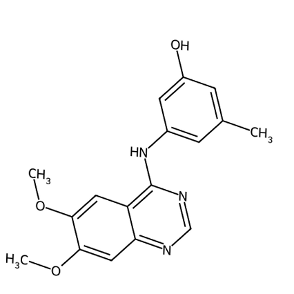 COc1cc2ncnc(Nc3cc(C)cc(O)c3)c2cc1OC